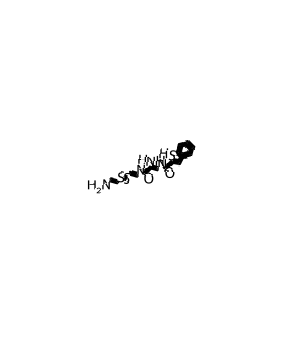 NCCSSCCNC(=O)C(N)CNC(=O)c1cc2ccccc2s1